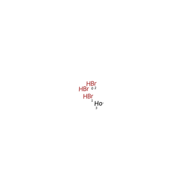 Br.Br.Br.[Ho]